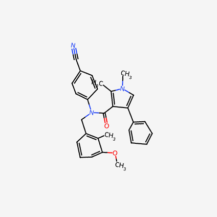 COc1cccc(CN(C(=O)c2c(-c3ccccc3)cn(C)c2C)c2ccc(C#N)cc2)c1C